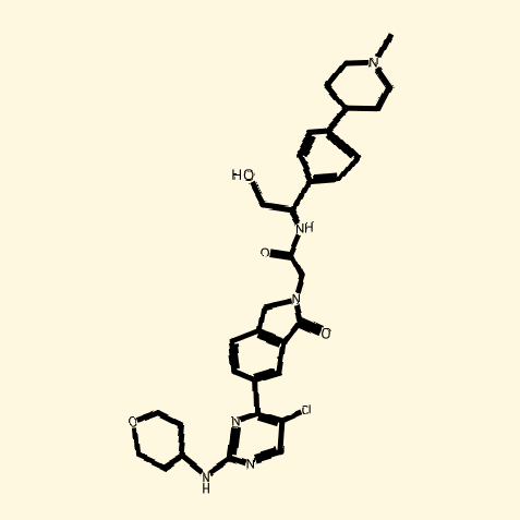 CN1CCC(c2ccc(C(CO)NC(=O)CN3Cc4ccc(-c5nc(NC6CCOCC6)ncc5Cl)cc4C3=O)cc2)CC1